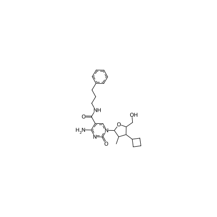 CC1C(C2CCC2)C(CO)OC1n1cc(C(=O)NCCCc2ccccc2)c(N)nc1=O